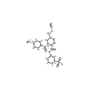 C#CCOc1ccc(NCc2cccc(S(C)(=O)=O)c2)c(C(=O)c2ccc(C(C)C)cc2)c1